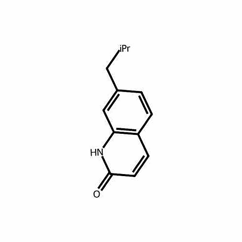 CC(C)Cc1ccc2ccc(=O)[nH]c2c1